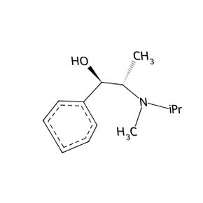 CC(C)N(C)[C@@H](C)[C@H](O)c1ccccc1